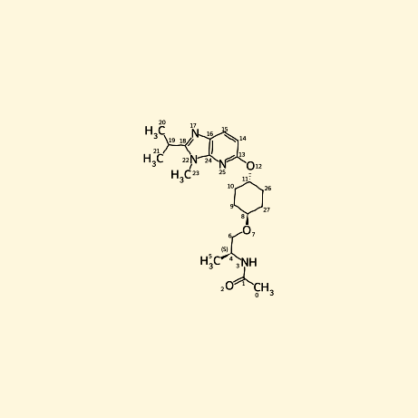 CC(=O)N[C@@H](C)CO[C@H]1CC[C@H](Oc2ccc3nc(C(C)C)n(C)c3n2)CC1